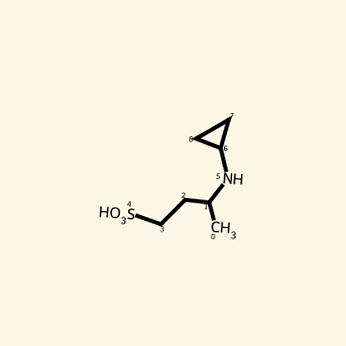 CC(CCS(=O)(=O)O)NC1CC1